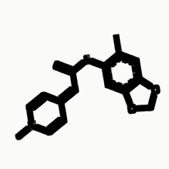 C=C(C=C1C=CN(C)C=C1)Sc1cc2c(cc1C)OCO2